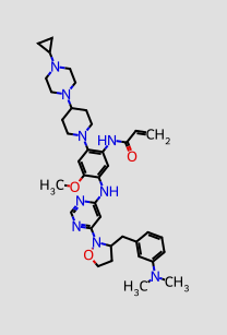 C=CC(=O)Nc1cc(Nc2cc(N3OCCC3Cc3cccc(N(C)C)c3)ncn2)c(OC)cc1N1CCC(N2CCN(C3CC3)CC2)CC1